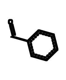 O=[C]c1ccccc1